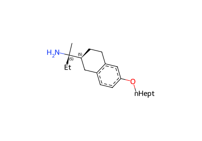 CCCCCCCOc1ccc2c(c1)CC[C@H]([C@@](C)(N)CC)C2